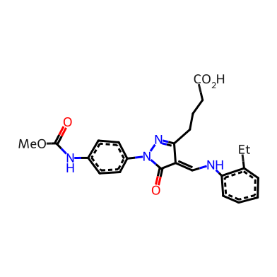 CCc1ccccc1NC=C1C(=O)N(c2ccc(NC(=O)OC)cc2)N=C1CCCC(=O)O